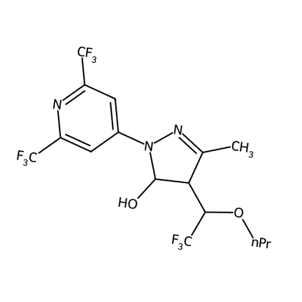 CCCOC(C1C(C)=NN(c2cc(C(F)(F)F)nc(C(F)(F)F)c2)C1O)C(F)(F)F